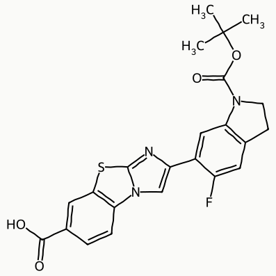 CC(C)(C)OC(=O)N1CCc2cc(F)c(-c3cn4c(n3)sc3cc(C(=O)O)ccc34)cc21